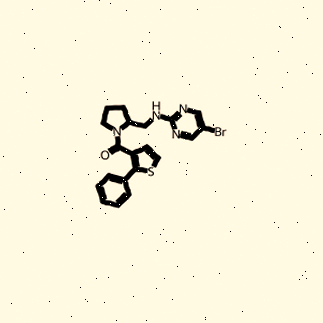 O=C(c1ccsc1-c1ccccc1)N1CCCC1CNc1ncc(Br)cn1